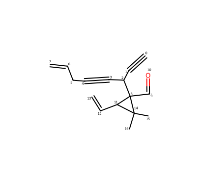 C#CC(C#CCC=C)C1([C]=O)C(C=C)C1(C)C